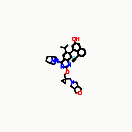 C#Cc1cccc2cc(O)cc(-c3c(C(C)C)cc4c(N5CC6CCC(C5)N6)nc(OCC5(CN6CC7COCC7C6)CC5)nc4c3F)c12